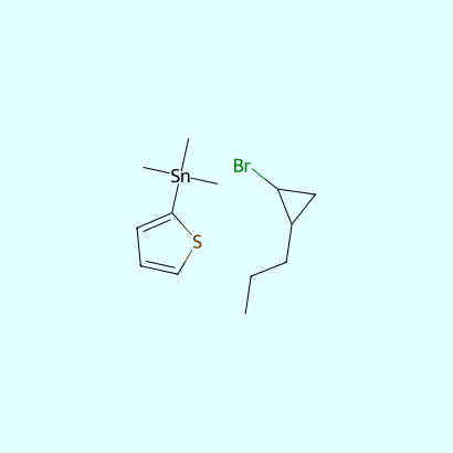 CCCC1CC1Br.[CH3][Sn]([CH3])([CH3])[c]1cccs1